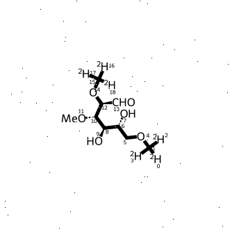 [2H]C([2H])([2H])OC[C@@H](O)[C@@H](O)[C@H](OC)[C@H](C=O)OC([2H])([2H])[2H]